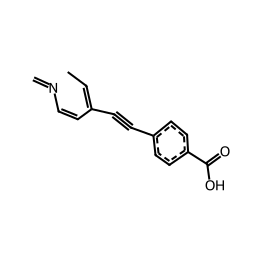 C=N/C=C\C(C#Cc1ccc(C(=O)O)cc1)=C/C